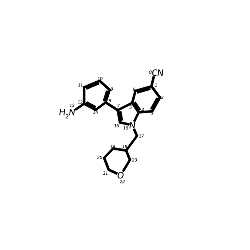 N#Cc1ccc2c(c1)c(-c1cccc(N)c1)cn2CC1CCCOC1